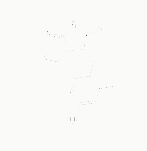 Cc1cc(N)ccc1CC1C(=O)Nc2ncccc21